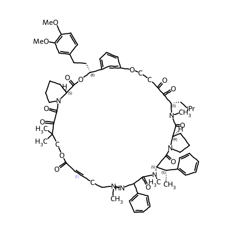 COc1ccc(CC[C@H]2OC(=O)[C@@H]3CCCCN3C(=O)C(=O)C(C)(C)COC(=O)/C=C/CCN(C)NC(c3ccccc3)C(=O)N(C)[C@@H]([C@@H](C)c3ccccc3)C(=O)N3CCC[C@@H]3C(=O)N(C)[C@@H](CC(C)C)C(=O)C(=O)CCOc3cccc2c3)cc1OC